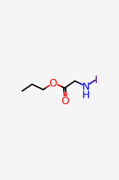 CCCOC(=O)CNI